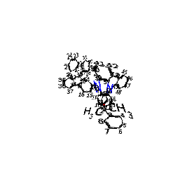 CC(C)(c1ccccc1)c1ccc(N(c2ccc3c(c2)C(c2ccccc2)(c2ccccc2)c2ccccc2-3)c2cccc3c4ccccc4n(-c4ccccc4)c23)cc1